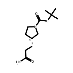 CC(C)(C)OC(=O)N1CC[C@@H](CCC(N)=O)C1